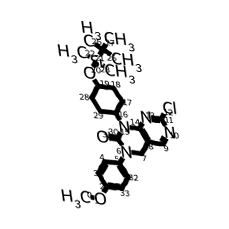 COc1ccc(N2Cc3cnc(Cl)nc3N(C3CCC(O[Si](C)(C)C(C)(C)C)CC3)C2=O)cc1